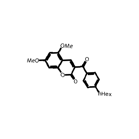 CCCCCCc1ccc(C(=O)c2cc3c(OC)cc(OC)cc3oc2=O)cc1